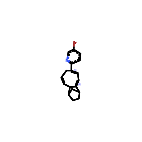 Brc1ccc(/C2=C/C=C3/C4CCC(C4)C3C=CC2)nc1